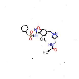 C#CC(=O)NCc1cnn(Cc2cc(C)c3c(NS(=O)(=O)CC4CCCCC4)noc3c2)c1